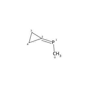 CP=C1CC1